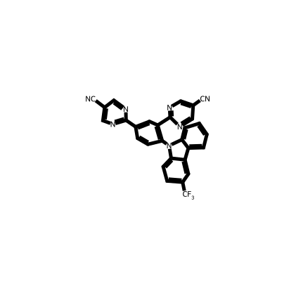 N#Cc1cnc(-c2ccc(-n3c4ccccc4c4cc(C(F)(F)F)ccc43)c(-c3ncc(C#N)cn3)c2)nc1